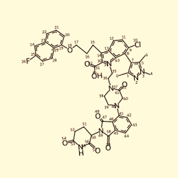 Cc1nn(C)c(C)c1-c1c(Cl)ccc2c(CCCOc3cccc4cc(F)ccc34)c(C(=O)O)n(CCN3CCN(c4cccc5c4C(=O)N(C4CCC(=O)NC4=O)C5=O)CC3=O)c12